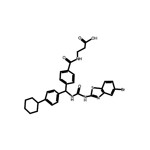 O=C(O)CCNC(=O)c1ccc(C(NC(=O)Nc2nc3cc(Br)ccc3s2)c2ccc(C3CCCCC3)cc2)cc1